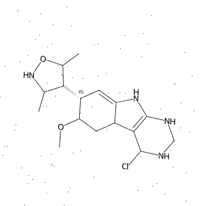 COC1CC2C(=C[C@H]1C1C(C)NOC1C)NC1=C2C(Cl)NCN1